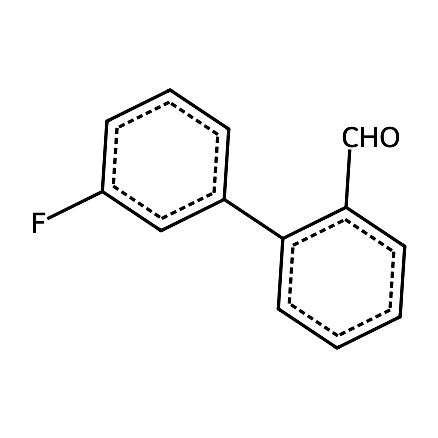 O=Cc1ccccc1-c1cccc(F)c1